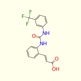 O=C(O)C=Cc1ccccc1NC(=O)Nc1cccc(C(F)(F)F)c1